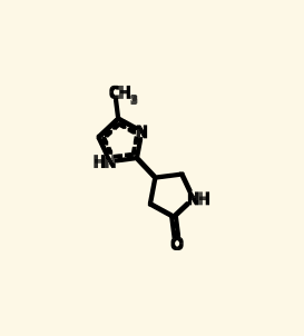 Cc1c[nH]c(C2CNC(=O)C2)n1